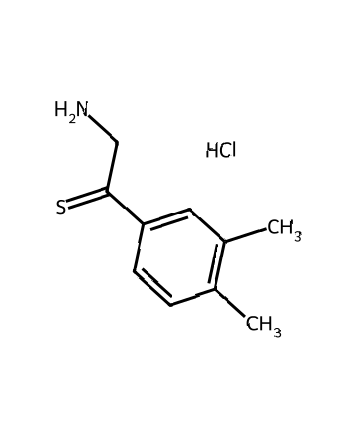 Cc1ccc(C(=S)CN)cc1C.Cl